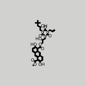 C=CCn1c(=O)n(CC(O)COC(=O)c2c(O)ccc3cc4c(C(=O)OC)c(O)ccc4cc23)c(=O)n(CC(O)CC(C)(C)C)c1=O